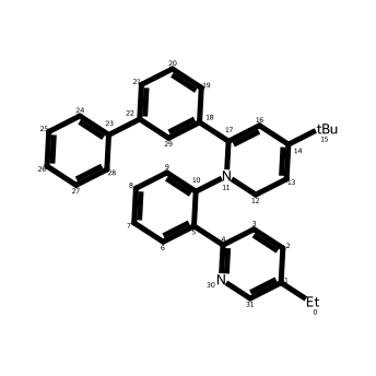 CCc1ccc(-c2ccccc2N2CC=C(C(C)(C)C)C=C2c2cccc(-c3ccccc3)c2)nc1